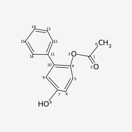 CC(=O)Oc1ccc(O)cc1-c1ccccc1